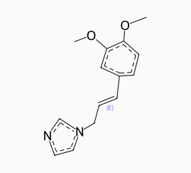 COc1ccc(/C=C/Cn2ccnc2)cc1OC